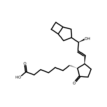 O=C(O)CCCCCC[C@H]1C(=O)CC[C@@H]1/C=C/[C@H](O)C1CC2CCC2C1